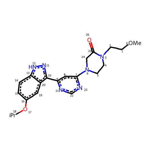 COCCN1CCN(c2cc(-c3n[nH]c4ccc(OC(C)C)cc34)ncn2)CC1=O